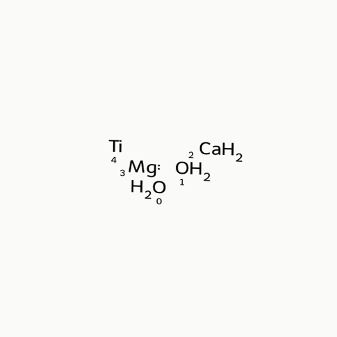 O.O.[CaH2].[Mg].[Ti]